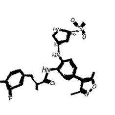 Cc1noc(C)c1-c1ccc(N[C@H]2CN[C@H](S(C)(=O)=O)C2)c(NC(=O)C(C)Cc2ccc(Cl)c(F)c2)c1